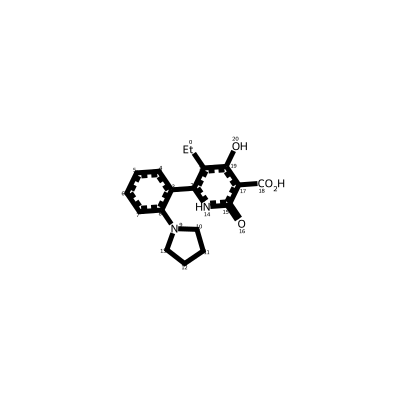 CCc1c(-c2ccccc2N2CCCC2)[nH]c(=O)c(C(=O)O)c1O